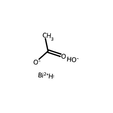 CC(=O)[O-].[BiH+2].[OH-]